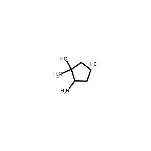 Cl.NC1CCCC1(N)O